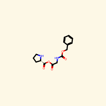 O=C(CNC(=O)OCc1ccccc1)OC(=O)[C@@H]1CCCN1